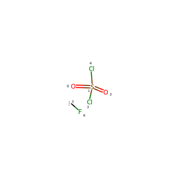 O=S(=O)(Cl)Cl.[C]F